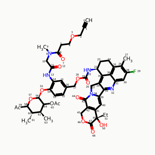 C#CCOCCC(=O)N(C)CC(=O)Nc1cc(COC(=O)N[C@H]2CCc3c(C)c(F)cc4nc5c(c2c34)Cn2c-5cc3c(c2=O)COC(=O)[C@]3(O)CC)ccc1O[C@@H]1OC(C(C)=O)[C@@H](C)[C@H](C)C1OC(C)=O